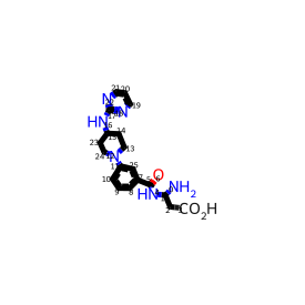 NC(CC(=O)O)NC(=O)c1cccc(N2CCC(Nc3ncccn3)CC2)c1